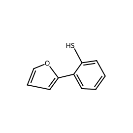 Sc1ccccc1-c1ccco1